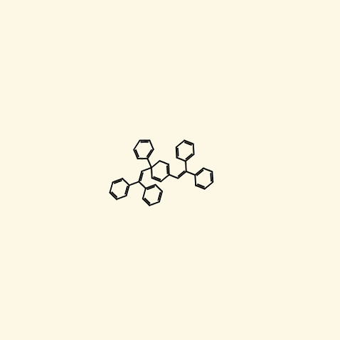 C1=CC(C=C(c2ccccc2)c2ccccc2)(c2ccccc2)CC=C1C=C(c1ccccc1)c1ccccc1